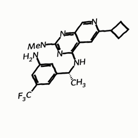 CNc1nc(N[C@H](C)c2cc(N)cc(C(F)(F)F)c2)c2cc(C3CCC3)ncc2n1